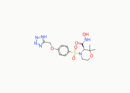 CC1(C)OCCN(S(=O)(=O)c2ccc(OCc3nnn[nH]3)cc2)[C@H]1C(=O)NO